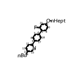 CCCCCCCOc1ccc(-c2ccc(-c3ccc(CCCC)cn3)cc2)c(F)c1